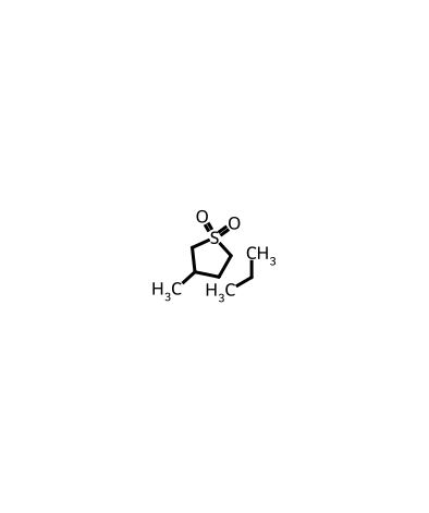 CC1CCS(=O)(=O)C1.CCC